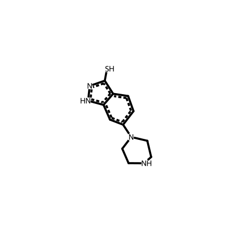 Sc1n[nH]c2cc(N3CCNCC3)ccc12